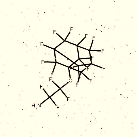 NC(F)(F)C(F)(F)OC12C(F)(F)C3(F)C(F)(F)C(F)(C(F)(F)C(F)(C3(F)F)C1(F)F)C2(F)F